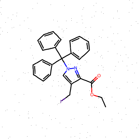 CCOC(=O)c1nn(C(c2ccccc2)(c2ccccc2)c2ccccc2)cc1CI